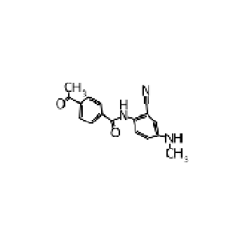 CNc1ccc(NC(=O)c2ccc(C(C)=O)cc2)c(C#N)c1